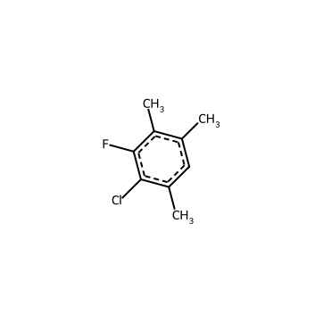 Cc1cc(C)c(Cl)c(F)c1C